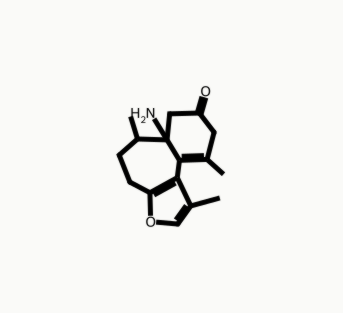 CC1=C2c3c(C)coc3CCC(C)C2(N)CC(=O)C1